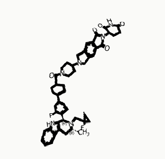 C[C@@H]1Cc2c([nH]c3ccccc23)[C@@H](c2ccc(C3=CCC(C(=O)N4CCC(N5Cc6cc7c(cc6C5)C(=O)N(C5CCC(=O)NC5=O)C7=O)CC4)CC3)cc2F)N1CC1(F)CC1